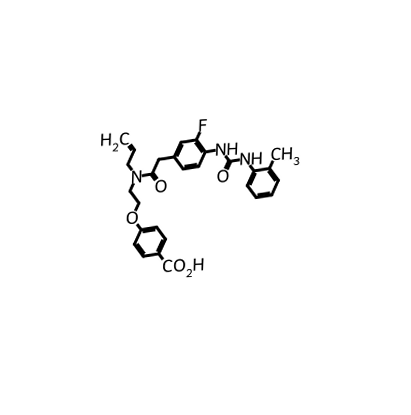 C=CCN(CCOc1ccc(C(=O)O)cc1)C(=O)Cc1ccc(NC(=O)Nc2ccccc2C)c(F)c1